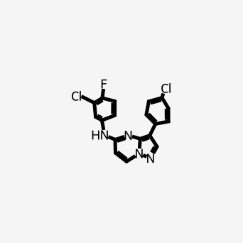 Fc1ccc(Nc2ccn3ncc(-c4ccc(Cl)cc4)c3n2)cc1Cl